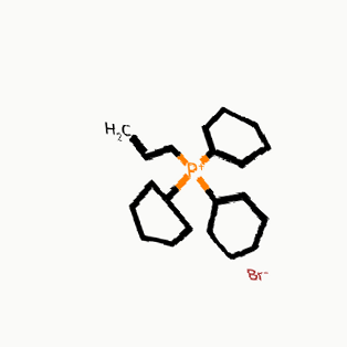 C=CC[P+](C1CCCCC1)(C1CCCCC1)C1CCCCC1.[Br-]